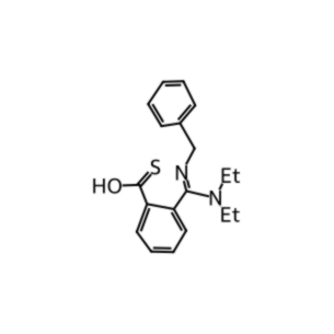 CCN(CC)C(=NCc1ccccc1)c1ccccc1C(O)=S